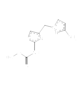 CC(C)(C)OC(=O)Nc1nc(Cn2ccc(N)n2)cs1